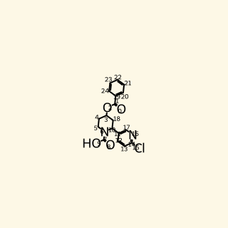 O=C(OC1CCN(C(=O)O)C(c2ccc(Cl)nc2)C1)c1ccccc1